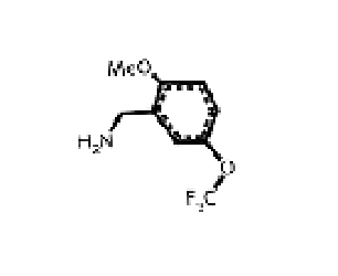 COc1ccc(OC(F)(F)F)cc1CN